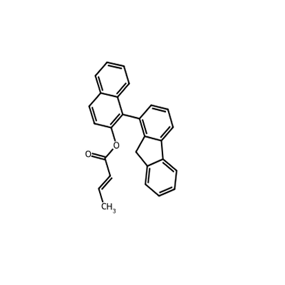 CC=CC(=O)Oc1ccc2ccccc2c1-c1cccc2c1Cc1ccccc1-2